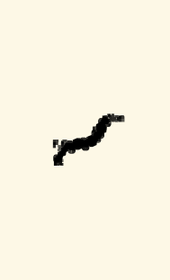 CCCCCCCCCC(=O)Oc1ccc(OC(=O)Oc2ccc(C(=O)Oc3ccc(C(=O)O[C@H](CCCCCOCC)C(F)(F)F)cc3)cc2)c(F)c1